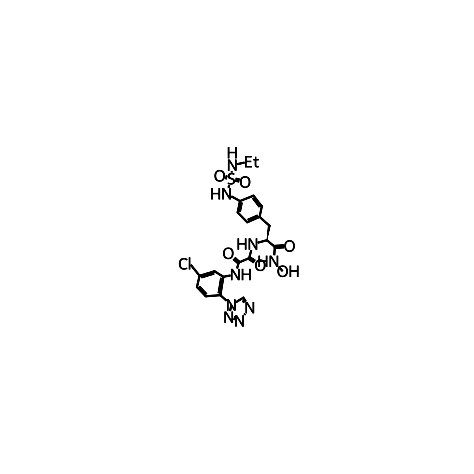 CCNS(=O)(=O)Nc1ccc(C[C@H](NC(=O)C(=O)Nc2cc(Cl)ccc2-n2cnnn2)C(=O)NO)cc1